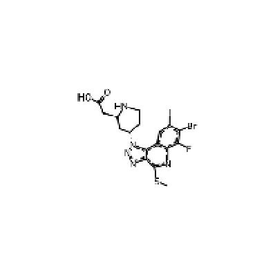 CSc1nc2c(F)c(Br)c(I)cc2c2c1nnn2[C@H]1CCN[C@H](CC(=O)O)C1